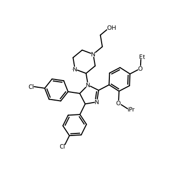 CCOc1ccc(C2=NC(c3ccc(Cl)cc3)C(c3ccc(Cl)cc3)N2C2CN(CCO)CC[N]2)c(OC(C)C)c1